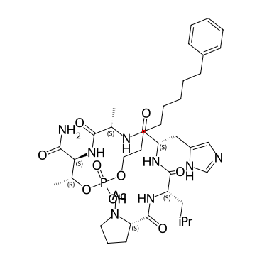 CC(=O)N1CCC[C@H]1C(=O)N[C@@H](CC(C)C)C(=O)N[C@@H](Cc1cnc[nH]1)C(=O)N[C@@H](C)C(=O)N[C@H](C(N)=O)[C@@H](C)OP(=O)(O)OCCCCCCCCc1ccccc1